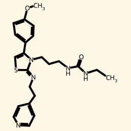 CCNC(=O)NCCCn1c(-c2ccc(OC)cc2)cs/c1=N\CCc1ccncc1